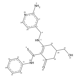 Nc1cc(CNC2=C(C(=S)Nc3ccccc3)C(=O)CC(CO)C2)ccn1